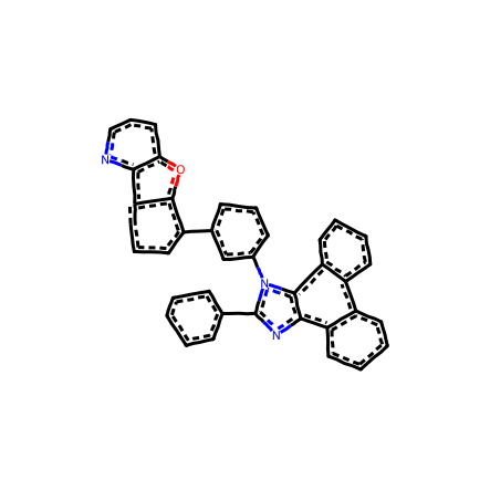 c1ccc(-c2nc3c4ccccc4c4ccccc4c3n2-c2cccc(-c3cccc4c3oc3cccnc34)c2)cc1